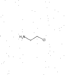 N[CH]CCl